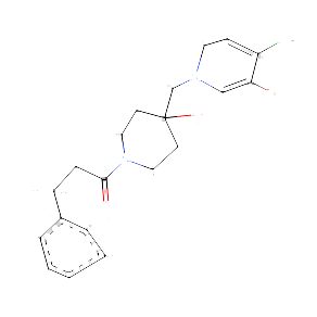 C[C@H](CC(=O)N1CCC(O)(CN2C=C(Br)C(Cl)=CC2)CC1)c1ccccc1